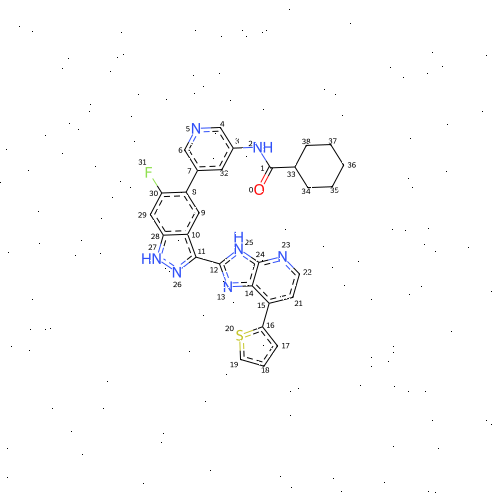 O=C(Nc1cncc(-c2cc3c(-c4nc5c(-c6cccs6)ccnc5[nH]4)n[nH]c3cc2F)c1)C1CCCCC1